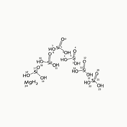 O=[Si](O)O.O=[Si](O)O.O=[Si](O)O.O=[Si](O)O.O=[Si](O)O.O=[Si](O)O.[MgH2]